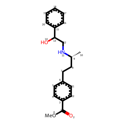 COC(=O)c1ccc(CC[C@@H](C)NCC(O)c2ccccc2)cc1